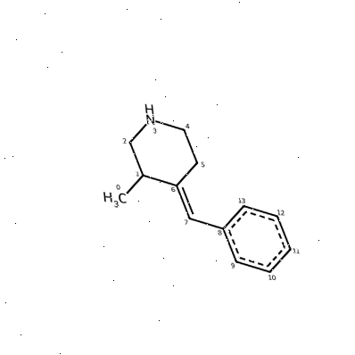 CC1CNCC/C1=C\c1ccccc1